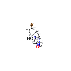 CC1=C(C(=O)O)C2(C)OC1N2/C=C1/C=c2cc(Br)ccc2=N1